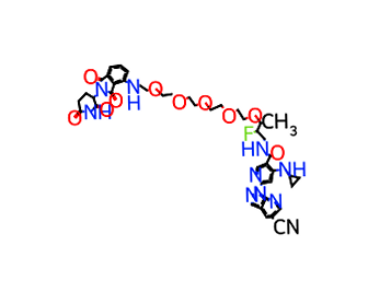 CC(OCCOCCOCCOCCOCCNc1cccc2c1C(=O)N(C1CCC(=O)NC1=O)C2=O)C(F)CNC(=O)c1cnc(-n2ncc3cc(C#N)cnc32)cc1NC1CC1